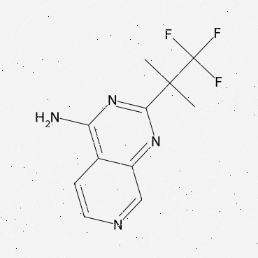 CC(C)(c1nc(N)c2ccncc2n1)C(F)(F)F